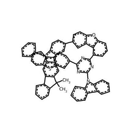 CC1(C)c2ccccc2-c2cc3c(cc21)c1cc(-c2ccc4oc5cccc(-c6nc(-c7ccc8c(c7)sc7ccccc78)nc(-n7c8ccccc8c8ccccc87)n6)c5c4c2)ccc1n3-c1ccccc1